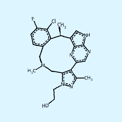 Cc1nn(CCO)c2c1-c1cnc3[nH]cc(c3n1)[C@H](C)c1c(ccc(F)c1Cl)CN(C)C2